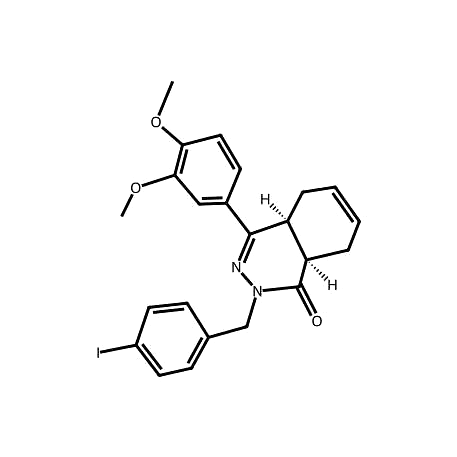 COc1ccc(C2=NN(Cc3ccc(I)cc3)C(=O)[C@@H]3CC=CC[C@H]23)cc1OC